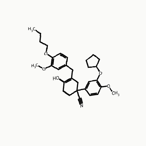 CCCCOc1ccc(CC2=C(O)CCC(C#N)(c3ccc(OC)c(OC4CCCC4)c3)C2)cc1OC